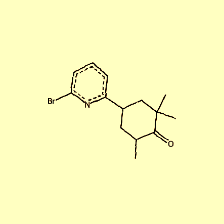 CC1CC(c2cccc(Br)n2)CC(C)(C)C1=O